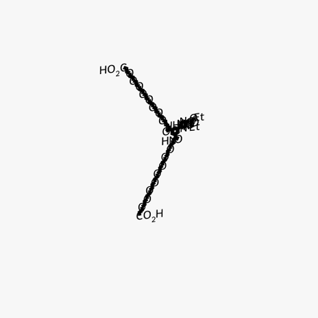 CCOP(=O)(Cc1nnc(-c2cc(C(=O)NCCOCCOCCOCCOCCOCCOCCOCCOCCC(=O)O)cc(C(=O)NCCOCCOCCOCCOCCOCCOCCOCCOCCC(=O)O)c2)nn1)OCC